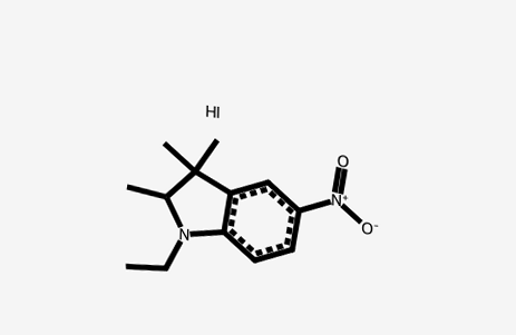 CCN1c2ccc([N+](=O)[O-])cc2C(C)(C)C1C.I